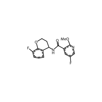 COc1ncc(F)cc1C(=O)NC1CCOc2c(F)cccc21